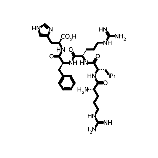 CC(C)C[C@H](NC(=O)[C@@H](N)CCCNC(=N)N)C(=O)N[C@@H](CCCNC(=N)N)C(=O)N[C@@H](Cc1ccccc1)C(=O)N[C@@H](Cc1c[nH]cn1)C(=O)O